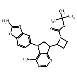 CC(C)(C)OC(=O)N1CCC1C1CN(c2ccc3oc(N)nc3c2)c2c(N)ncnc21